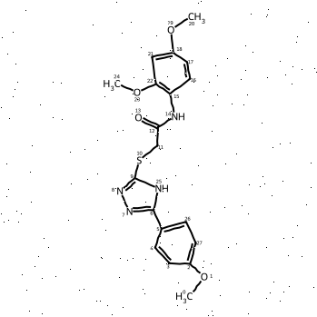 COc1ccc(-c2nnc(SCC(=O)Nc3ccc(OC)cc3OC)[nH]2)cc1